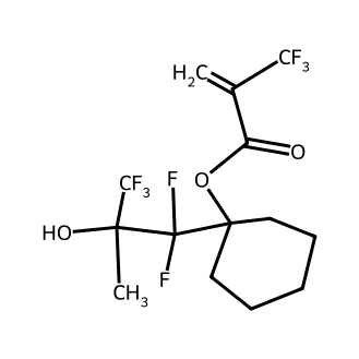 C=C(C(=O)OC1(C(F)(F)C(C)(O)C(F)(F)F)CCCCC1)C(F)(F)F